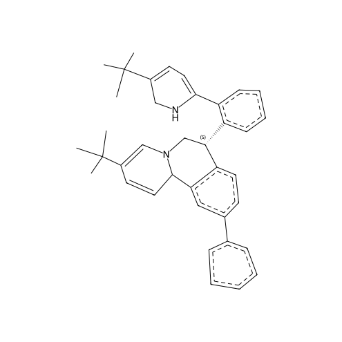 CC(C)(C)C1=CN2C[C@H](c3ccccc3C3=CC=C(C(C)(C)C)CN3)c3ccc(-c4ccccc4)cc3C2C=C1